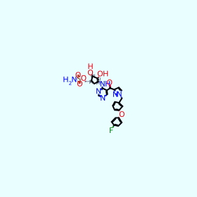 NS(=O)(=O)OC[C@H]1C[C@@H](Nc2ncncc2C(=O)c2ccn(Cc3cccc(Oc4ccc(F)cc4)c3)n2)[C@H](O)[C@@H]1O